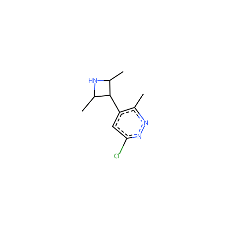 Cc1nnc(Cl)cc1C1C(C)NC1C